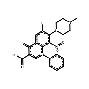 CN1CCN(c2c(F)cc3c(=O)c(C(=O)O)cn(-c4ccccc4)c3c2[N+](=O)[O-])CC1